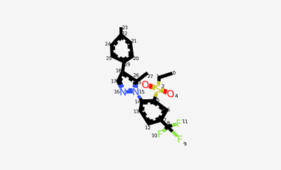 CCS(=O)(=O)c1cc(C(F)(F)F)ccc1-n1ncc(-c2ccc(C)cc2)c1C